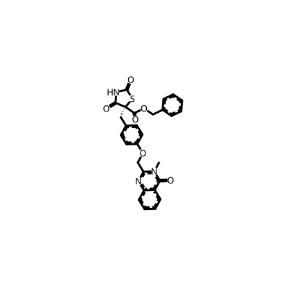 Cn1c(COc2ccc(C[C@@]3(C(=O)OCc4ccccc4)SC(=O)NC3=O)cc2)nc2ccccc2c1=O